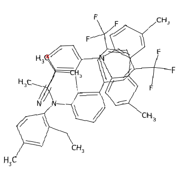 CCc1cc(C)ccc1N(c1cccc(-c2cc(C(F)(F)F)cc(C(F)(F)F)c2)c1-c1c(C#N)cccc1-n1c2ccc(C)cc2c2cc(C)ccc21)C(C)C(C)C